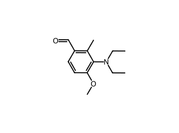 CCN(CC)c1c(OC)ccc(C=O)c1C